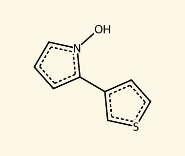 On1cccc1-c1ccsc1